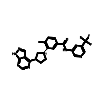 Cc1ccc(C(=O)Nc2cncc(C(F)(F)F)c2)cc1[C@@H]1CCN(c2ncnc3[nH]ncc23)C1